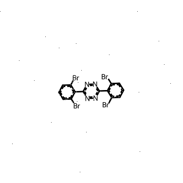 Brc1cccc(Br)c1-c1nnc(-c2c(Br)cccc2Br)nn1